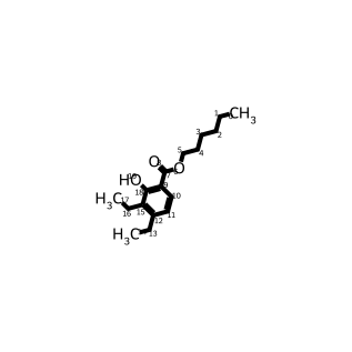 CCCCCCOC(=O)c1ccc(CC)c(CC)c1O